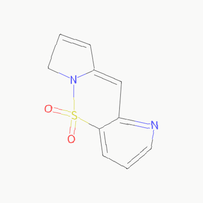 O=S1(=O)c2cccnc2C=C2C=CCN21